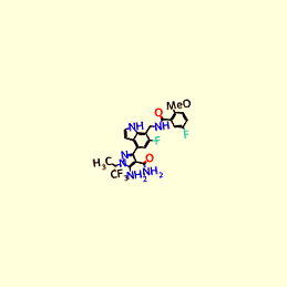 COc1ccc(F)cc1C(=O)NCc1c(F)cc(-c2nn([C@@H](C)C(F)(F)F)c(N)c2C(N)=O)c2cc[nH]c12